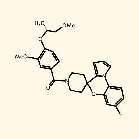 COC[C@@H](C)Oc1ccc(C(=O)N2CCC3(CC2)Oc2cc(F)ccc2-n2cccc23)cc1OC